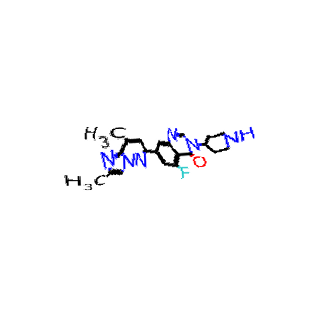 Cc1cn2nc(-c3cc(F)c4c(=O)n(C5CCNCC5)cnc4c3)cc(C)c2n1